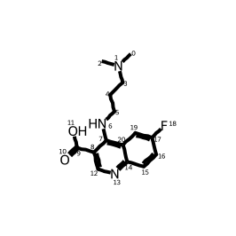 CN(C)CCCNc1c(C(=O)O)cnc2ccc(F)cc12